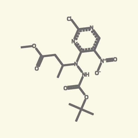 COC(=O)CC(C)N(NC(=O)OC(C)(C)C)c1nc(Cl)ncc1[N+](=O)[O-]